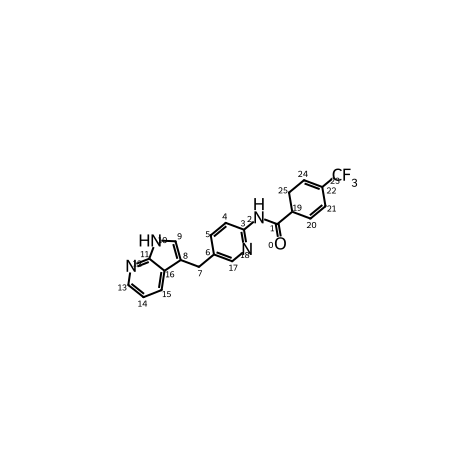 O=C(Nc1ccc(Cc2c[nH]c3ncccc23)cn1)C1C=CC(C(F)(F)F)=CC1